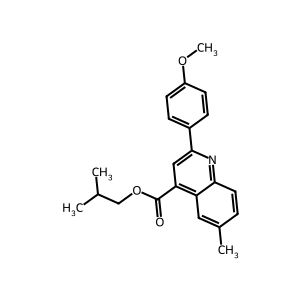 COc1ccc(-c2cc(C(=O)OCC(C)C)c3cc(C)ccc3n2)cc1